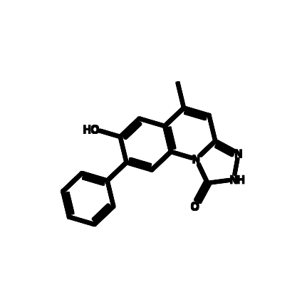 Cc1cc2n[nH]c(=O)n2c2cc(-c3ccccc3)c(O)cc12